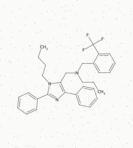 CCCCn1c(-c2ccccc2)nc(-c2ccccc2)c1CN(CCC)Cc1ccccc1C(F)(F)F